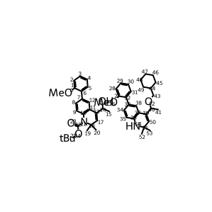 COc1ccccc1-c1ccc2c(c1)C(C(C)O)=CC(C)(C)N2C(=O)OC(C)(C)C.COc1ccccc1-c1ccc2c(c1)C(C(C)OCC1CCCCC1)=CC(C)(C)N2